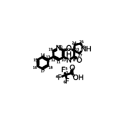 O=C(O)C(F)(F)F.O=C1Nc2cc(-c3ccccc3)cnc2OC12CCNC2